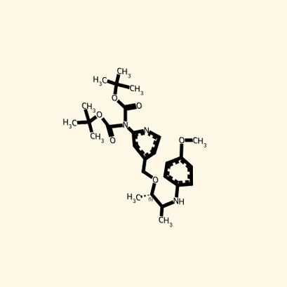 COc1ccc(NC(C)[C@H](C)OCc2ccnc(N(C(=O)OC(C)(C)C)C(=O)OC(C)(C)C)c2)cc1